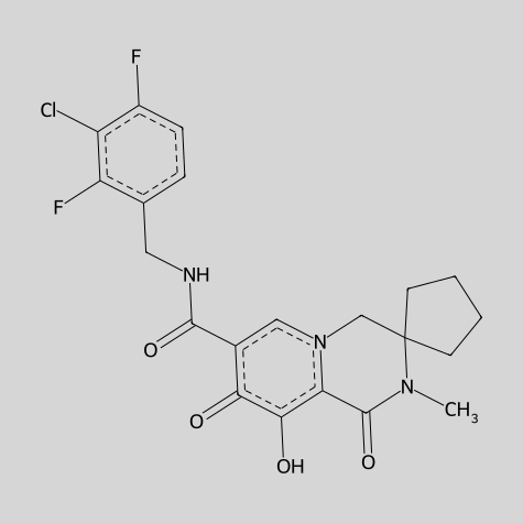 CN1C(=O)c2c(O)c(=O)c(C(=O)NCc3ccc(F)c(Cl)c3F)cn2CC12CCCC2